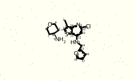 Cc1c([C@H]2COCC[C@@H]2N)sc2c(NCc3ccco3)cc(Cl)nc12